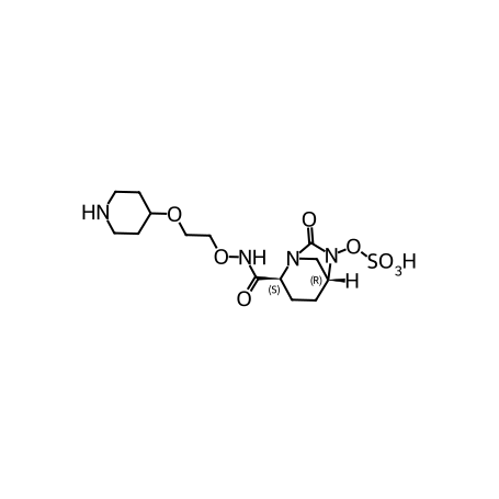 O=C(NOCCOC1CCNCC1)[C@@H]1CC[C@@H]2CN1C(=O)N2OS(=O)(=O)O